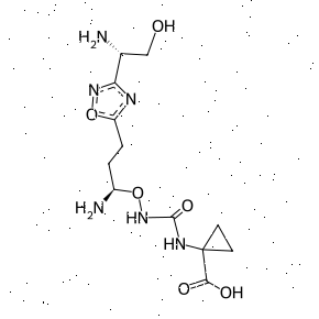 N[C@H](CO)c1noc(CC[C@H](N)ONC(=O)NC2(C(=O)O)CC2)n1